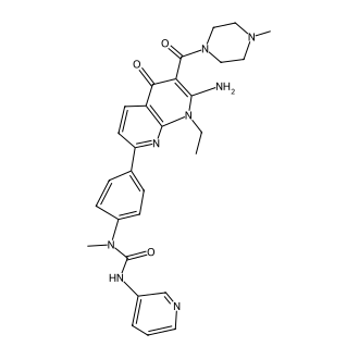 CCn1c(N)c(C(=O)N2CCN(C)CC2)c(=O)c2ccc(-c3ccc(N(C)C(=O)Nc4cccnc4)cc3)nc21